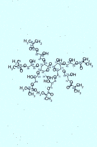 C=C(C)C(=O)OCC(O)COC[C@H]1O[C@H](O[C@H]2O[C@H](CO)[C@@H](OCC(O)COC(=O)C(=C)C)[C@H](OCC(O)COC(=O)C(=C)C)[C@H]2OCC(O)COC(=O)C(=C)C)[C@H](O)[C@@H](OCC(O)COC(=O)C(=C)C)[C@@H]1OCC(O)COC(=O)C(=C)C